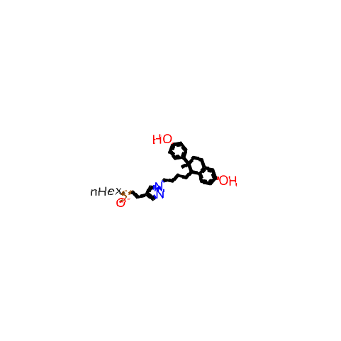 CCCCCC[S+]([O-])CCc1cnn(CCCCC2c3ccc(O)cc3CCC2(C)c2ccc(O)cc2)c1